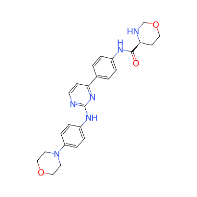 O=C(Nc1ccc(-c2ccnc(Nc3ccc(N4CCOCC4)cc3)n2)cc1)[C@@H]1CCOCN1